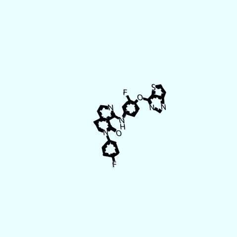 O=c1c2c(Nc3ccc(Oc4ncnc5ccsc45)c(F)c3)nccc2ccn1-c1ccc(F)cc1